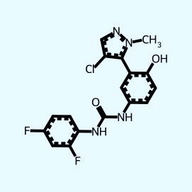 Cn1ncc(Cl)c1-c1cc(NC(=O)Nc2ccc(F)cc2F)ccc1O